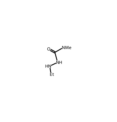 CCNNC(=O)NC